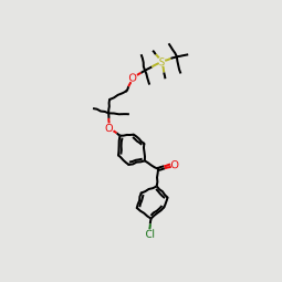 CC(C)(CCOC(C)(C)S(C)(C)C(C)(C)C)Oc1ccc(C(=O)c2ccc(Cl)cc2)cc1